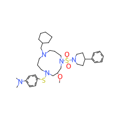 COC1CN(Sc2ccc(N(C)C)cc2)CCCN(CC2CCCCC2)CCCN(S(=O)(=O)N2CCC(c3ccccc3)CC2)C1